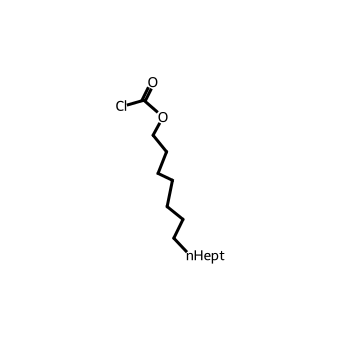 CCCCCCCCCCCCCCOC(=O)Cl